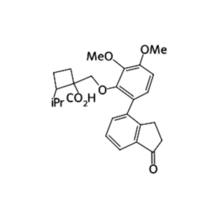 COc1ccc(-c2cccc3c2CCC3=O)c(OCC2(C(=O)O)CCC2C(C)C)c1OC